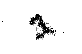 CCC1(Cn2ncc(-c3ccc(N4CCc5cccc(C(=O)Nc6nc7ccccc7s6)c5C4)nc3C(=O)O)c2C)CC2(C)CC(C)(C)CC(OCCNC(=O)CCC(=O)O)(C2)C1